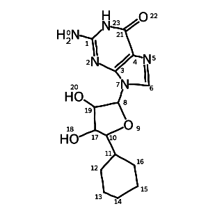 Nc1nc2c(ncn2C2OC(C3CCCCC3)C(O)C2O)c(=O)[nH]1